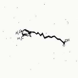 Cc1nc(CCCCCCCCCCCC(=O)O)cn1C